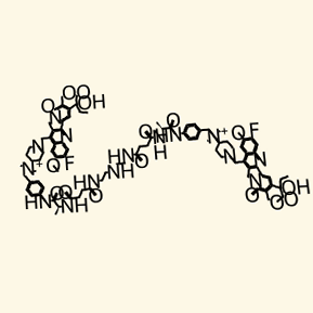 CC[C@@]1(O)C(=O)OCc2c1cc1n(c2=O)Cc2c-1nc1cc(F)c(OC)cc1c2CN1CCC([N+](C)(C)Cc2ccc(NC(=O)[C@H](C)NC(=O)CCC(=O)NCCNCCNC(=O)CCC(=O)N[C@@H](C)C(=O)Nc3ccc(C[N+](C)(C)C4CCN(Cc5c6c(nc7cc(F)c(OC)cc57)-c5cc7c(c(=O)n5C6)COC(=O)[C@]7(O)CC)CC4)cc3)cc2)CC1